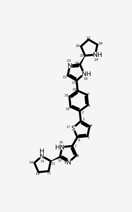 c1cc(-c2ccc(-c3cnc([C@H]4CCCN4)[nH]3)s2)ccc1-c1cnc([C@H]2CCCN2)[nH]1